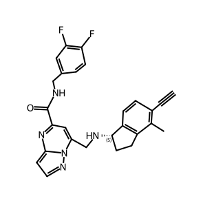 C#Cc1ccc2c(c1C)CC[C@@H]2NCc1cc(C(=O)NCc2ccc(F)c(F)c2)nc2ccnn12